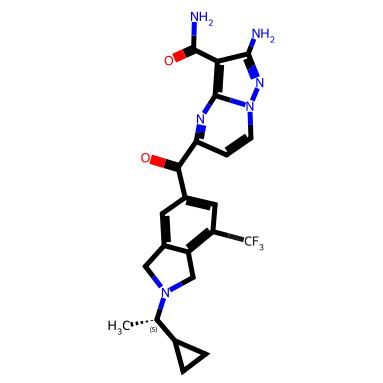 C[C@@H](C1CC1)N1Cc2cc(C(=O)c3ccn4nc(N)c(C(N)=O)c4n3)cc(C(F)(F)F)c2C1